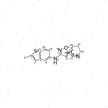 Cc1cc2cc(NC3=NO[C@@]4(C3)CN3CCC4CC3)ccc2s1